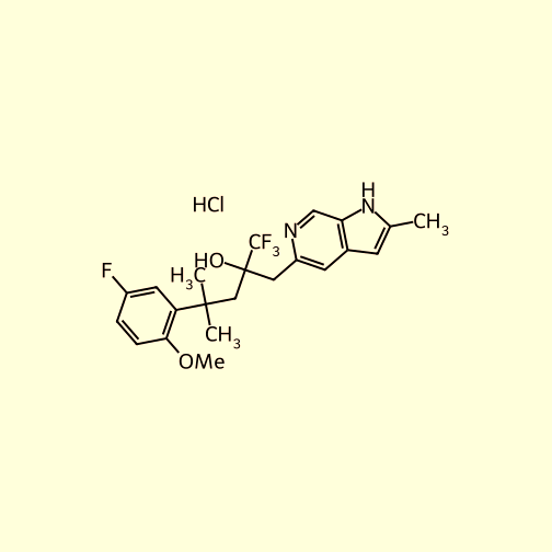 COc1ccc(F)cc1C(C)(C)CC(O)(Cc1cc2cc(C)[nH]c2cn1)C(F)(F)F.Cl